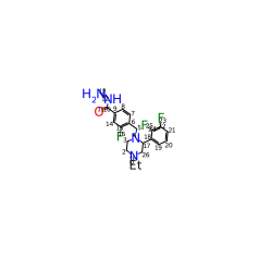 CCN1CCN(Cc2ccc(C(=O)NN)cc2F)C(c2cccc(F)c2F)C1